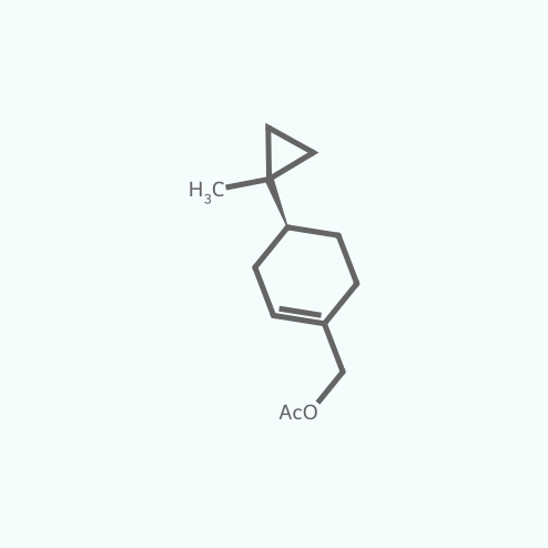 CC(=O)OCC1=CC[C@@H](C2(C)CC2)CC1